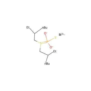 CCCCC(CC)CS(CC(CC)CCCC)=P([O-])([O-])[S-].[Bi+3]